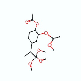 COC(C)OC1CC(C(C)[Si](OC)(OC)OC)CCC1OC(C)=O